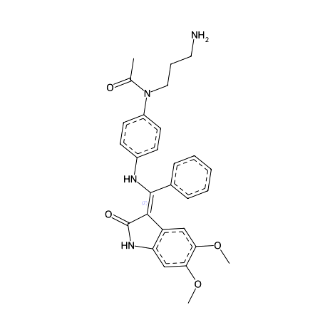 COc1cc2c(cc1OC)/C(=C(/Nc1ccc(N(CCCN)C(C)=O)cc1)c1ccccc1)C(=O)N2